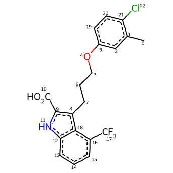 Cc1cc(OCCCc2c(C(=O)O)[nH]c3cccc(C(F)(F)F)c23)ccc1Cl